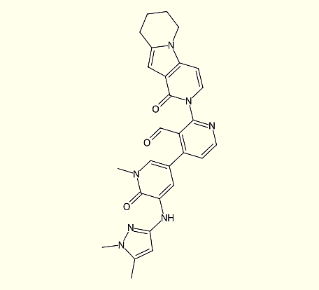 Cc1cc(Nc2cc(-c3ccnc(-n4ccc5c(cc6n5CCCC6)c4=O)c3C=O)cn(C)c2=O)nn1C